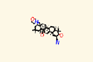 CC1(C)CC[C@]2(CN3CCOC3)CC[C@]3(C)[C@H](C(=O)C=C4[C@@]5(C)C=C(C#N)C(=O)C(C)(C)[C@@H]5CC[C@]43C)[C@@H]2C1